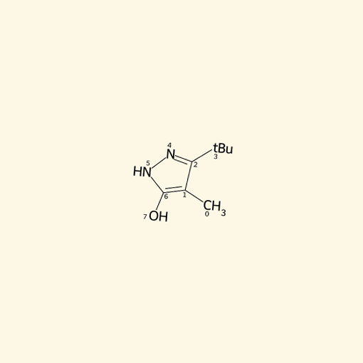 Cc1c(C(C)(C)C)n[nH]c1O